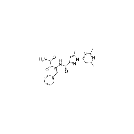 Cc1cc(-n2nc(C(=O)N[C@@H](Cc3ccccc3)C(=O)C(N)=O)cc2C)nc(C)n1